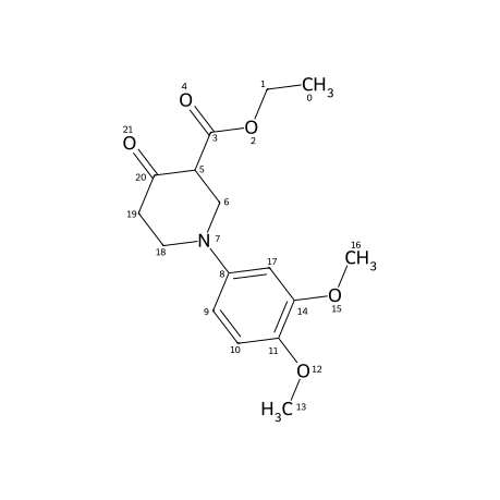 CCOC(=O)C1CN(c2ccc(OC)c(OC)c2)CCC1=O